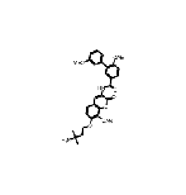 COc1cccc(-c2cc(C(=O)Nc3cc4ccc(OCCC(C)(C)N)c(OC)c4oc3=O)ccc2OC)c1